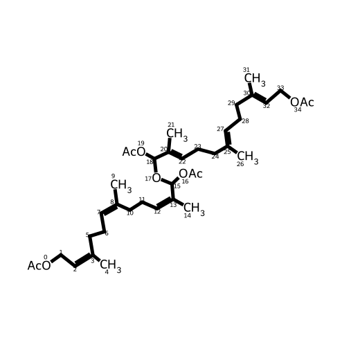 CC(=O)OCC=C(C)CCC=C(C)CCC=C(C)C(OC(C)=O)OC(OC(C)=O)C(C)=CCCC(C)=CCCC(C)=CCOC(C)=O